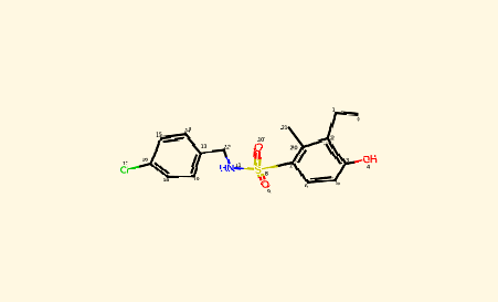 CCc1c(O)ccc(S(=O)(=O)NCc2ccc(Cl)cc2)c1C